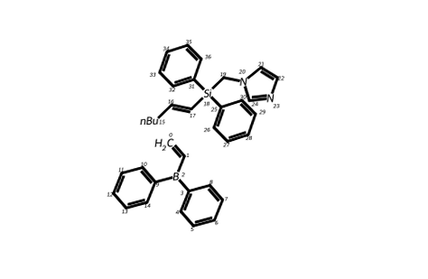 C=CB(c1ccccc1)c1ccccc1.CCCCC=C[Si](Cn1ccnc1)(c1ccccc1)c1ccccc1